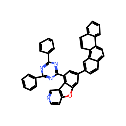 c1ccc(-c2nc(-c3ccccc3)nc(-c3cc(-c4ccc5ccc6c7ccccc7ccc6c5c4)cc4oc5ccncc5c34)n2)cc1